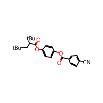 CC(C)(C)CC(C(=O)Oc1ccc(OC(=O)c2ccc(C#N)cc2)cc1)C(C)(C)C